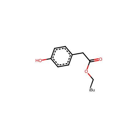 CCC(C)COC(=O)Cc1ccc(O)cc1